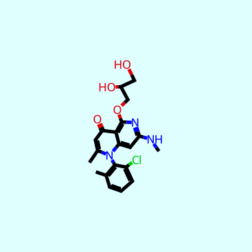 CNc1cc2c(c(OCC(O)CO)n1)c(=O)cc(C)n2-c1c(C)cccc1Cl